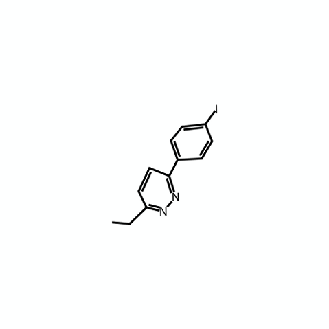 CCc1ccc(-c2ccc(I)cc2)nn1